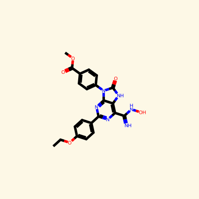 CCOc1ccc(-c2nc(C(=N)NO)c3[nH]c(=O)n(-c4ccc(C(=O)OC)cc4)c3n2)cc1